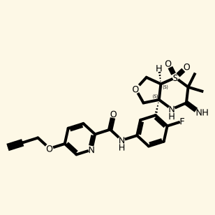 C#CCOc1ccc(C(=O)Nc2ccc(F)c([C@]34COC[C@H]3S(=O)(=O)C(C)(C)C(=N)N4)c2)nc1